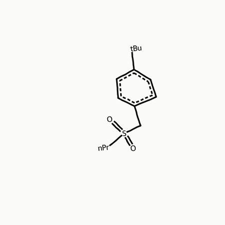 CCCS(=O)(=O)Cc1ccc(C(C)(C)C)cc1